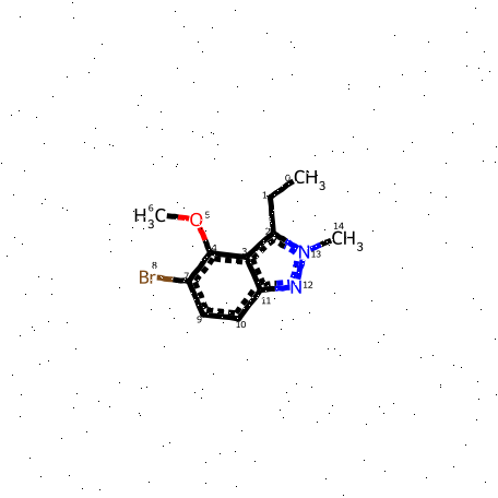 CCc1c2c(OC)c(Br)ccc2nn1C